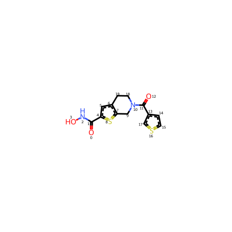 O=C(NO)c1cc2c(s1)CN(C(=O)c1ccsc1)CC2